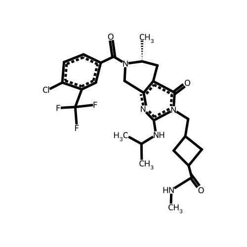 CNC(=O)C1CC(Cn2c(NC(C)C)nc3c(c2=O)C[C@@H](C)N(C(=O)c2ccc(Cl)c(C(F)(F)F)c2)C3)C1